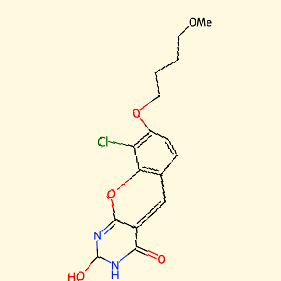 COCCCCOc1ccc2c(c1Cl)OC1=NC(O)NC(=O)C1=C2